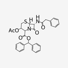 CC(=O)OC1CS[C@@H]2[C@H](NC(=O)Cc3ccccc3)C(=O)N2C1C(=O)OC(c1ccccc1)c1ccccc1